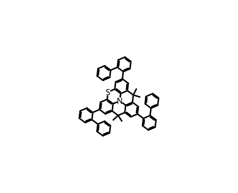 CC1(C)c2cc(-c3ccccc3-c3ccccc3)cc3c2N2c4c(cc(-c5ccccc5-c5ccccc5)cc4C(C)(C)c4cc(-c5ccccc5-c5ccccc5)cc1c42)S3